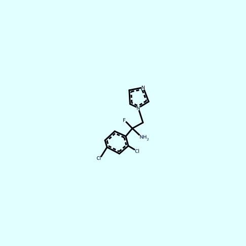 NC(F)(Cn1ccnc1)c1ccc(Cl)cc1Cl